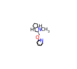 CN1[C@@H](COc2ccccn2)C[C@H]2CCC[C@H]21